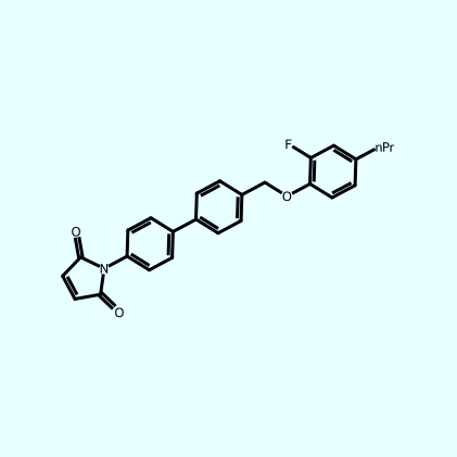 CCCc1ccc(OCc2ccc(-c3ccc(N4C(=O)C=CC4=O)cc3)cc2)c(F)c1